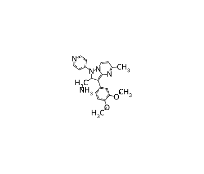 COc1ccc(C2=C3N=C(C)C=CN3N(c3ccncc3)C2C)cc1OC.N